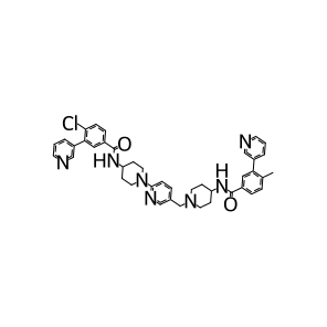 Cc1ccc(C(=O)NC2CCN(Cc3ccc(N4CCC(NC(=O)c5ccc(Cl)c(-c6cccnc6)c5)CC4)nc3)CC2)cc1-c1cccnc1